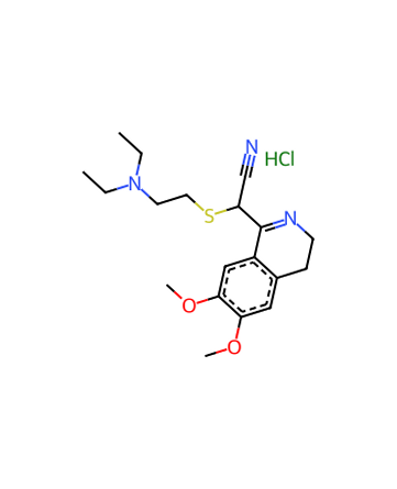 CCN(CC)CCSC(C#N)C1=NCCc2cc(OC)c(OC)cc21.Cl